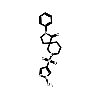 Cn1cc(S(=O)(=O)N2CCCC3(CCN(c4ccccc4)C3=O)C2)cn1